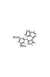 COc1cc(C[C@H](C)N(C(C)=O)c2cccc3ccccc23)cc(OC)c1